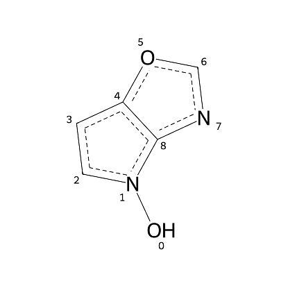 On1ccc2ocnc21